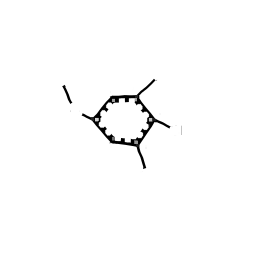 COc1cc(C)c(S)c(C)c1